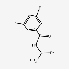 Cc1cc(F)cc(C(=O)NC(C(=O)O)C(C)C)c1